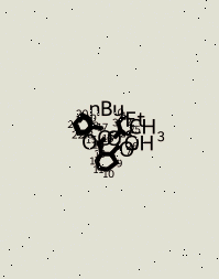 CCCCC(CC)CC(OC(=O)C1CCCCC1C(=O)OCc1ccccc1)C(C)O